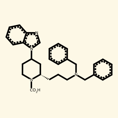 O=C(O)N1CCC(n2cnc3ccccc32)C[C@@H]1CCCN(Cc1ccccc1)Cc1ccccc1